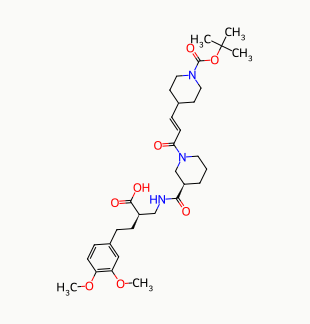 COc1ccc(CC[C@H](CNC(=O)[C@@H]2CCCN(C(=O)/C=C/C3CCN(C(=O)OC(C)(C)C)CC3)C2)C(=O)O)cc1OC